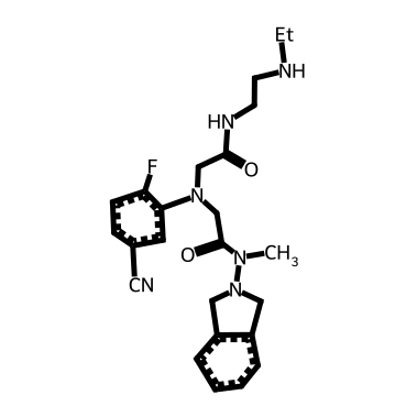 CCNCCNC(=O)CN(CC(=O)N(C)N1Cc2ccccc2C1)c1cc(C#N)ccc1F